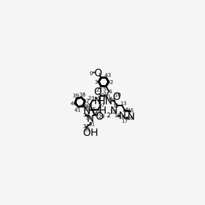 COc1ccc(C[C@@H](NC(=O)C(N)Cc2cncn2C)C(=O)N2CCC3(CC2)C(=O)N(CCO)CN3c2ccccc2)cc1